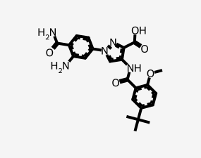 COc1ccc(C(C)(C)C)cc1C(=O)Nc1cn(-c2ccc(C(N)=O)c(N)c2)nc1C(=O)O